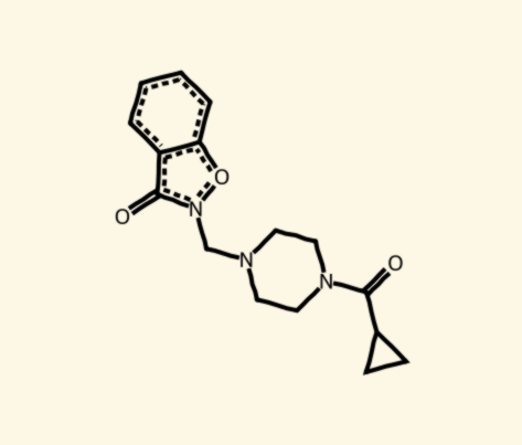 O=C(C1CC1)N1CCN(Cn2oc3ccccc3c2=O)CC1